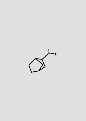 [Ti][NH]C1CC2CCC1C2